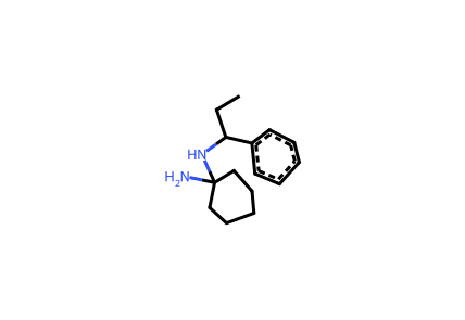 CCC(NC1(N)CCCCC1)c1ccccc1